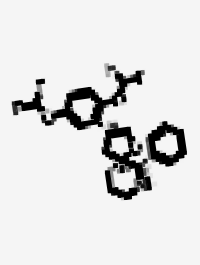 FC(F)Oc1ccc(OC(F)F)c([C@@H]2CO[C@]3(CCCN[C@H]3c3ccccc3)C2)c1